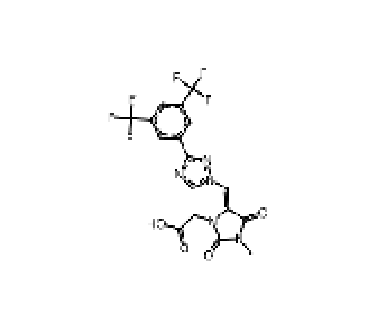 CN1C(=O)C(=Cn2cnc(-c3cc(C(F)(F)F)cc(C(F)(F)F)c3)n2)N(CC(=O)O)C1=O